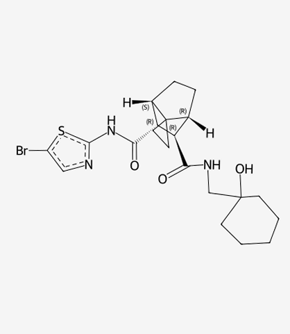 O=C(NCC1(O)CCCCC1)[C@H]1[C@H](C(=O)Nc2ncc(Br)s2)[C@@H]2CC[C@H]1C21CC1